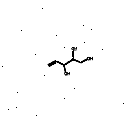 C=CC(O)C(O)[CH]O